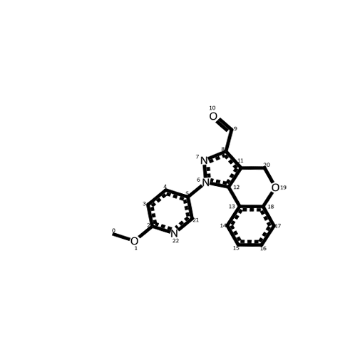 COc1ccc(-n2nc(C=O)c3c2-c2ccccc2OC3)cn1